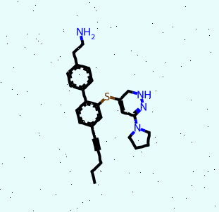 CCCC#Cc1ccc(-c2ccc(CCN)cc2)c(SC2=CC(N3CCCC3)=NNC2)c1